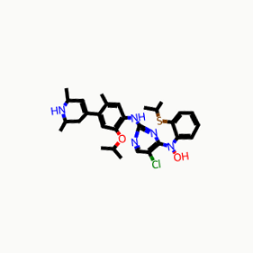 Cc1cc(Nc2ncc(Cl)c(N(O)c3ccccc3SC(C)C)n2)c(OC(C)C)cc1C1=CC(C)NC(C)C1